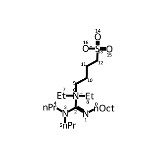 CCCCCCCCN=C(N(CCC)CCC)[N+](CC)(CC)CCCCS(=O)(=O)[O-]